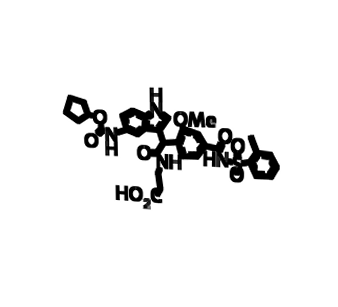 COc1cc(C(=O)NS(=O)(=O)c2ccccc2C)ccc1C(C(=O)NCCC(=O)O)c1c[nH]c2ccc(NC(=O)OC3CCCC3)cc12